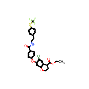 CCOC(=O)C1CCOc2cc(Oc3ccc(C(=O)NCCc4ccc(SC(F)(F)F)cc4)cc3)c(Cl)cc21